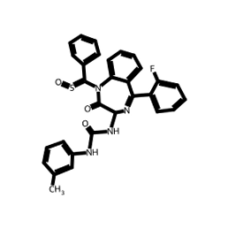 Cc1cccc(NC(=O)NC2N=C(c3ccccc3F)c3ccccc3N(C(=S=O)c3ccccc3)C2=O)c1